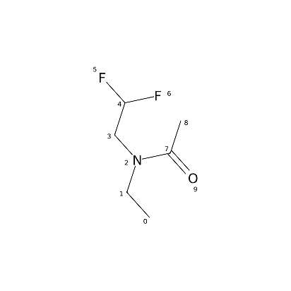 CCN(CC(F)F)C(C)=O